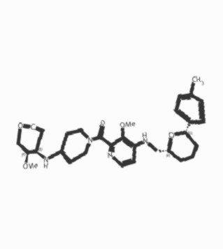 COc1c(NC[C@H]2CCC[C@@H](c3ccc(C)cc3)O2)ccnc1C(=O)N1CCC(N[C@@H]2CCOC[C@@H]2OC)CC1